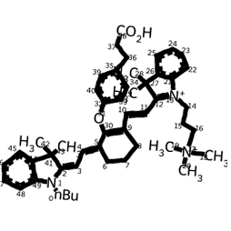 CCCCN1/C(=C/C=C2\CCCC(/C=C/C3=[N+](CCC[N+](C)(C)C)c4ccccc4C3(C)C)=C2Oc2ccc(CCC(=O)O)cc2)C(C)(C)c2ccccc21